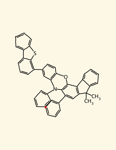 CC1(C)c2ccccc2-c2c1cc(-c1ccccc1)c1c2Oc2ccc(-c3cccc4c3sc3ccccc34)cc2N1c1ccccc1